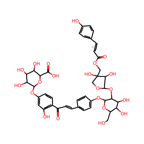 O=C(/C=C/c1ccc(O)cc1)OCC1(O)COC(OC2C(Oc3ccc(C=CC(=O)c4ccc(OC5OC(C(=O)O)C(O)C(O)C5O)cc4O)cc3)OC(CO)C(O)C2O)C1O